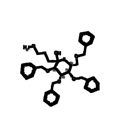 OC1(CCCOP)S[C@H](COCc2ccccc2)[C@@H](OCc2ccccc2)[C@H](OCc2ccccc2)[C@H]1OCc1ccccc1